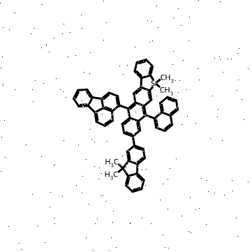 CC1(C)c2ccccc2-c2ccc(-c3ccc4c(-c5ccc6c7c(cccc57)-c5ccccc5-6)c5cc6c(cc5c(-c5cccc7ccccc57)c4c3)[Si](C)(C)c3ccccc3-6)cc21